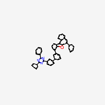 c1ccc(-c2nc(-c3ccccc3)nc(-c3cccc(-c4cccc(-c5cccc6c5oc5c(-c7ccccc7)cc7ccccc7c56)c4)c3)n2)cc1